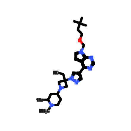 CC(C)(C)C1CC(N2CC(CC#N)(n3cc(-c4ncnc5c4ccn5COCC[Si](C)(C)C)cn3)C2)CCN1C(=O)O